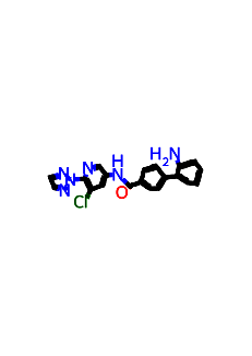 Nc1ccccc1-c1ccc(C(=O)Nc2cnc(-n3nccn3)c(Cl)c2)cc1